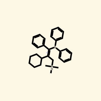 C[PH](C)(C)C/C(=C(\B(c1ccccc1)c1ccccc1)c1ccccc1)C1CCCCC1